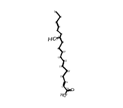 CCCCCCC(O)CCCCCCCC/C=C/C(=O)O